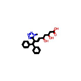 Cn1nnnc1C(C=CC(O)CC(O)CC(=O)O)=C(c1ccccc1)c1ccccc1